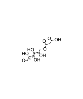 O=C[C@H](O)[C@@H](O)[C@H](O)[C@H](O)COC(=O)CC(=O)O